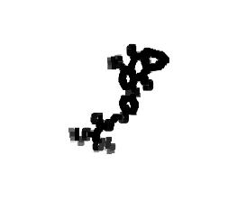 C=C(C)C(=O)OCOc1ccc(Nc2ccc(O)c3c2C(=O)c2ccccc2C3=O)cc1